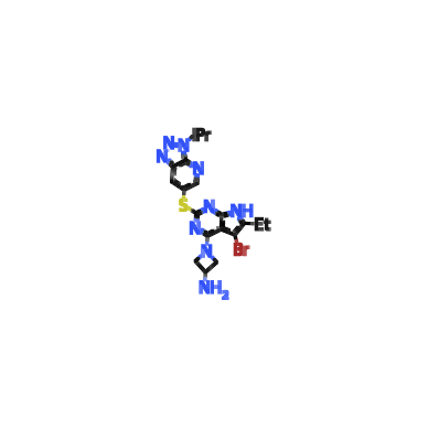 CCc1[nH]c2nc(Sc3cnc4c(c3)nnn4C(C)C)nc(N3CC(N)C3)c2c1Br